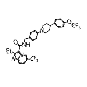 CCc1nc2ccc(C(F)(F)F)cn2c1C(=O)NCc1ccc(N2CCC(c3ccc(OC(F)(F)F)cc3)CC2)cc1